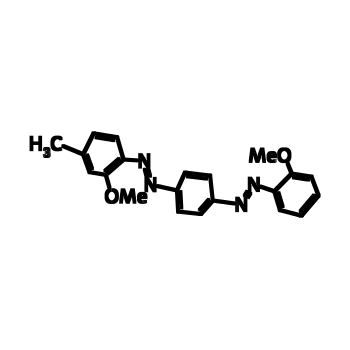 COc1ccccc1N=Nc1ccc(N=Nc2ccc(C)cc2OC)cc1